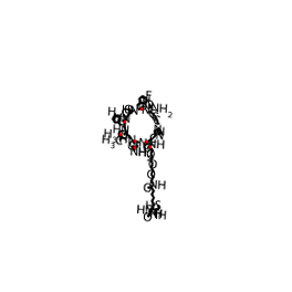 CC(C)C[C@H]1NC(=O)[C@@H](CC(N)=O)NC(=O)[C@@H](NC(=O)COCCOCCOCCNC(=O)CCCCC2SC[C@H]3NC(=O)N[C@@H]23)Cc2cn(nn2)CCCC[C@@H](C(N)=O)NC(=O)[C@H](Cc2ccc(F)cc2)NC(=O)[C@@H](C)NC(=O)[C@@H](Cc2ccccc2)NC1=O